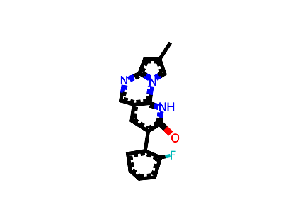 Cc1cc2ncc3cc(-c4ccccc4F)c(=O)[nH]c3n2c1